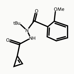 COc1ccccc1C(=O)N(NC(=O)C1=CC1)C(C)(C)C